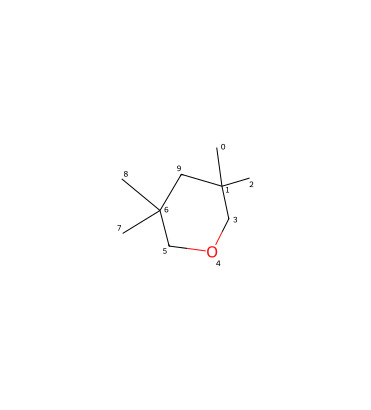 CC1(C)COCC(C)(C)C1